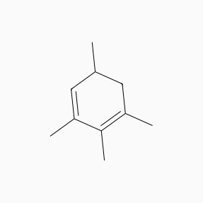 CC1=CC(C)CC(C)=C1C